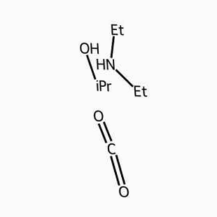 CC(C)O.CCNCC.O=C=O